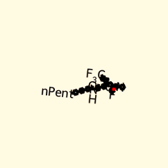 CCCCCC1CCC(c2ccc(-c3ccc(C(=O)Nc4ccc(-c5ccc6c7c(c8c(c6c5)-c5ccc(C(F)(F)F)cc5C8(C)C)C=CC(c5ccc(F)cc5)(c5ccc(N6CCCCC6)cc5)O7)c(C)c4)cc3)cc2)CC1